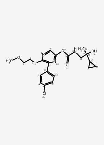 COCCOc1ncc(OC(=O)NC[C@](C)(O)C2CC2)nc1-c1ccc(Cl)cc1